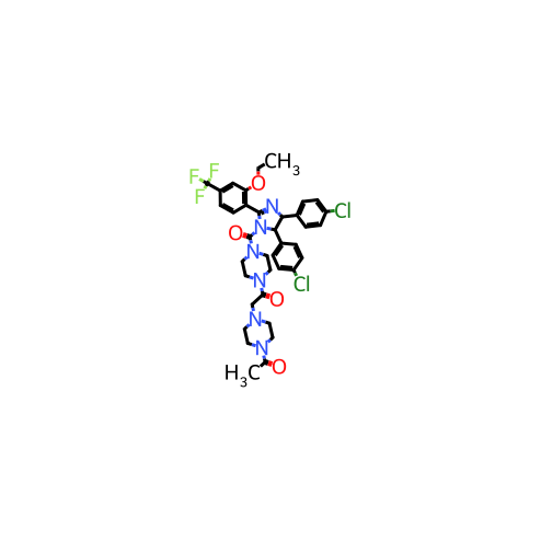 CCOc1cc(C(F)(F)F)ccc1C1=NC(c2ccc(Cl)cc2)C(c2ccc(Cl)cc2)N1C(=O)N1CCN(C(=O)CN2CCN(C(C)=O)CC2)CC1